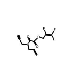 C#CCN(CC=C)C(=O)C(=O)OCC(F)=C(F)F